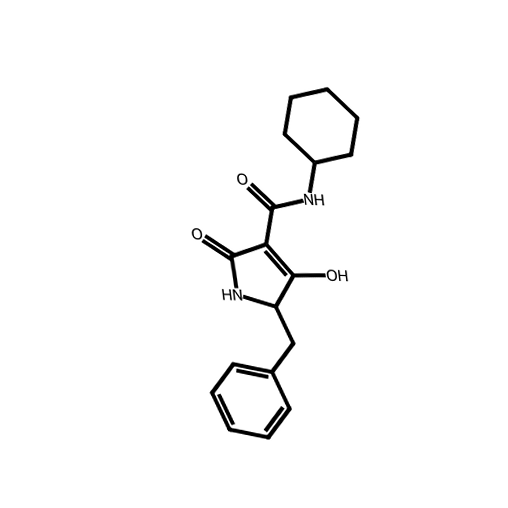 O=C(NC1CCCCC1)C1=C(O)C(Cc2ccccc2)NC1=O